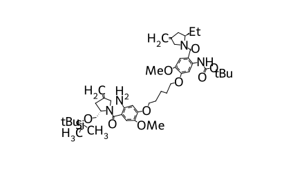 C=C1C[C@@H](CO[Si](C)(C)C(C)(C)C)N(C(=O)c2cc(OC)c(OCCCCCOc3cc(NC(=O)OC(C)(C)C)c(C(=O)N4CC(=C)C[C@H]4CC)cc3OC)cc2N)C1